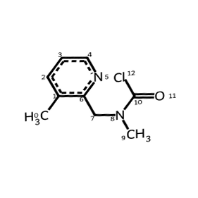 Cc1cccnc1CN(C)C(=O)Cl